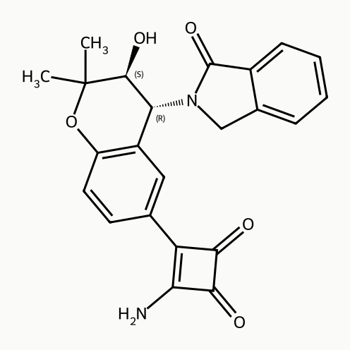 CC1(C)Oc2ccc(-c3c(N)c(=O)c3=O)cc2[C@@H](N2Cc3ccccc3C2=O)[C@@H]1O